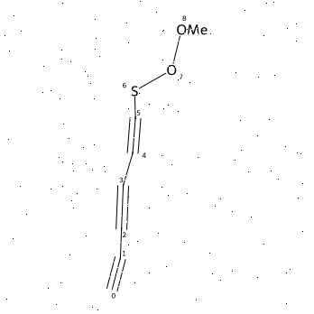 C#CC#CC#CSOOC